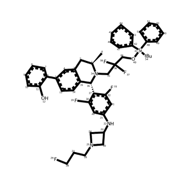 C[C@@H]1Cc2cc(-c3ccccc3O)ccc2[C@@H](c2c(F)cc(NC3CN(CCCF)C3)cc2F)N1CC(F)(F)CO[Si](c1ccccc1)(c1ccccc1)C(C)(C)C